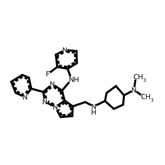 CN(C)C1CCC(NCc2ccn3nc(-c4ccccn4)nc(Nc4ccncc4F)c23)CC1